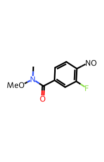 CON(C)C(=O)c1ccc(N=O)c(F)c1